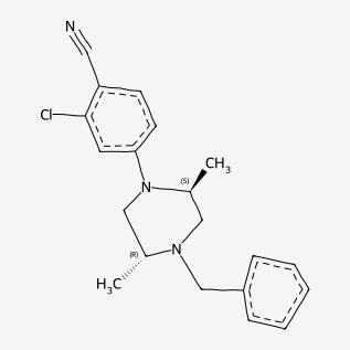 C[C@@H]1CN(c2ccc(C#N)c(Cl)c2)[C@@H](C)CN1Cc1ccccc1